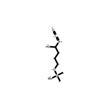 CC(C)(C)[Si](C)(C)OCCCC(O)N=C=O